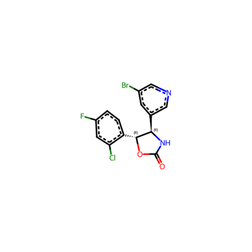 O=C1N[C@H](c2cncc(Br)c2)[C@@H](c2ccc(F)cc2Cl)O1